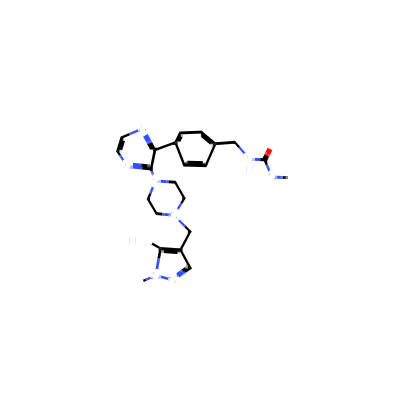 CCNC(=O)NCc1ccc(-c2nccnc2N2CCN(Cc3cnn(C)c3C)CC2)cc1